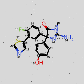 CN1C(=O)C(c2ccc(O)cc2)(c2ccc(F)c(-c3cncs3)c2)N=C1N